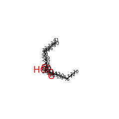 CCCCCC/C=C\CCCCCCCC(=O)OC[C@H](CO)OC(=O)CCCCCCC/C=C\CCCCCCCC